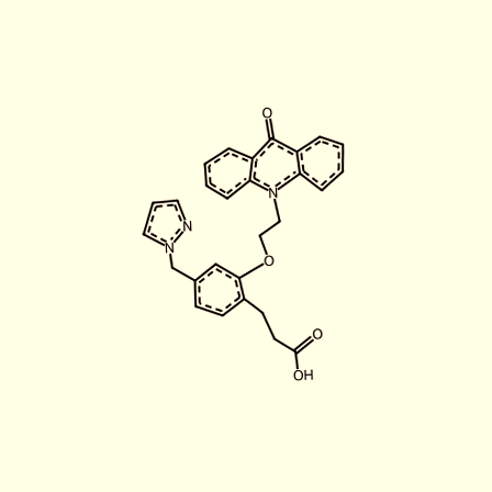 O=C(O)CCc1ccc(Cn2cccn2)cc1OCCn1c2ccccc2c(=O)c2ccccc21